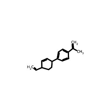 C=CC1C=CC(c2ccc(C(=C)C)cc2)CC1